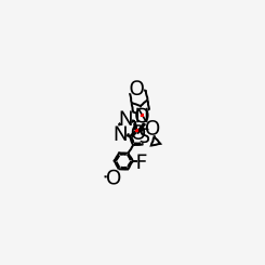 COc1ccc(-c2csc3c(OC4C5COCC4CN(C(=O)OC4CC4)C5)ncnc23)c(F)c1